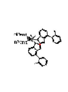 CCCCC[Si](CCCCC)=[Hf]([CH3])([CH3])([CH]1C=Cc2c(-c3ccccc3C)cccc21)[CH]1C=Cc2c(-c3ccccc3C)cccc21